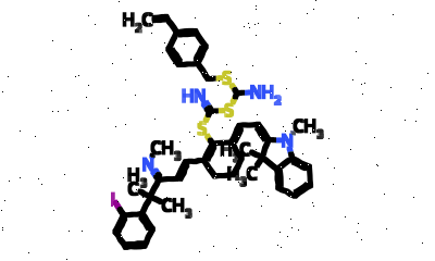 C=Cc1ccc(CSC(N)SC(=N)SC2=C(/C=C/C(=N\C)C(C)(C)c3ccccc3I)CCC/C2=C\C=C2\N(C)c3ccccc3C2(C)C)cc1